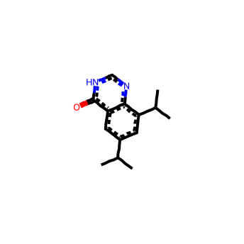 CC(C)c1cc(C(C)C)c2nc[nH]c(=O)c2c1